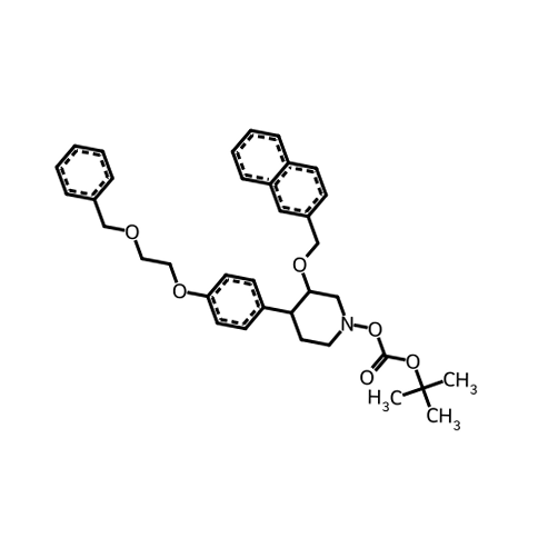 CC(C)(C)OC(=O)ON1CCC(c2ccc(OCCOCc3ccccc3)cc2)C(OCc2ccc3ccccc3c2)C1